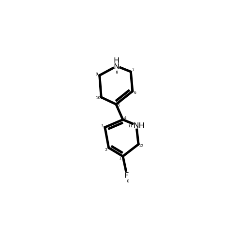 FC1=CC=C(C2=CCNCC2)NC1